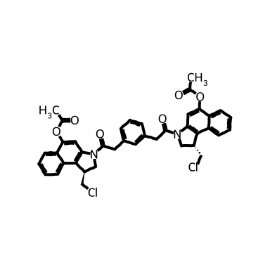 CC(=O)Oc1cc2c(c3ccccc13)[C@H](CCl)CN2C(=O)Cc1cccc(CC(=O)N2C[C@@H](CCl)c3c2cc(OC(C)=O)c2ccccc32)c1